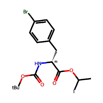 CC(I)OC(=O)[C@@H](Cc1ccc(Br)cc1)NC(=O)OC(C)(C)C